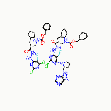 O=C(NC[C@@H](CC1CCCC1)C(=O)NNc1nc(Cl)nc(Cl)c1F)OCc1ccccc1.O=C(NC[C@@H](CC1CCCC1)C(=O)NNc1nc(Cl)nc(N2CCC[C@H]2Cn2nnc3cncnc32)c1F)OCc1ccccc1